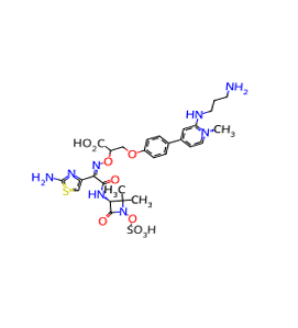 C[n+]1ccc(-c2ccc(OCC(O/N=C(\C(=O)N[C@@H]3C(=O)N(OS(=O)(=O)O)C3(C)C)c3csc(N)n3)C(=O)O)cc2)cc1NCCCN